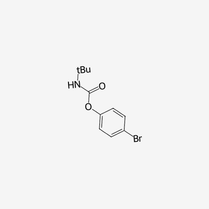 CC(C)(C)NC(=O)Oc1ccc(Br)cc1